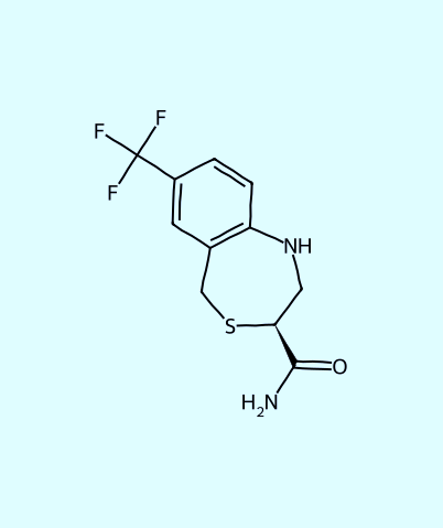 NC(=O)[C@@H]1CNc2ccc(C(F)(F)F)cc2CS1